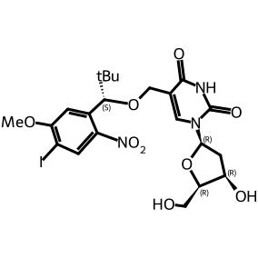 COc1cc([C@@H](OCc2cn([C@H]3C[C@@H](O)[C@@H](CO)O3)c(=O)[nH]c2=O)C(C)(C)C)c([N+](=O)[O-])cc1I